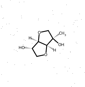 C[C@@]1(O)CO[C@@H]2[C@@H](O)CO[C@@H]21